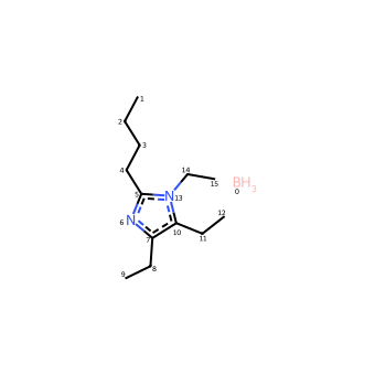 B.CCCCc1nc(CC)c(CC)n1CC